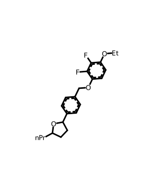 CCCC1CCC(c2ccc(COc3ccc(OCC)c(F)c3F)cc2)O1